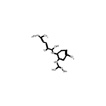 CCCCC/C(C)=C/C=C(\CC)C(O)NC1CC=C([N+](=O)[O-])CC1NC(O)OC(C)(C)C